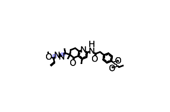 C=C/C(=N\N=C(/C)C1(C)CCc2nc(NC(=O)Cc3ccc(S(=O)(=O)CC)cc3)cc(C)c2C1=O)OC